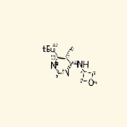 Cc1c(NC2COC2)ncnc1C(C)(C)C